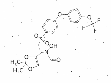 CC1(C)OC=C([C@H](CS(=O)(=O)c2ccc(Oc3ccc(OC(F)(F)F)cc3)cc2)N(O)C=O)O1